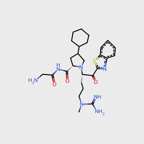 CN(CCC[C@@H](C(=O)c1nc2ccccc2s1)N1CC(C2CCCCC2)C[C@H]1C(=O)NC(=O)CN)C(=N)N